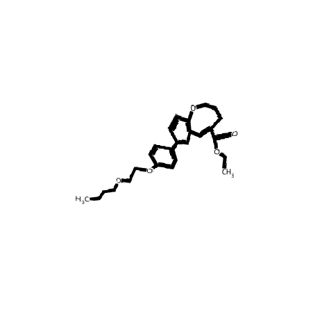 CCCCOCCOc1ccc(-c2ccc3c(c2)C=C(C(=O)OCC)CCCO3)cc1